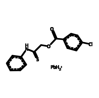 O=C(OCC(=S)Nc1ccccc1)c1ccc(Cl)cc1.[PbH2]